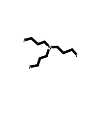 ICCCN(CCCI)CCCI